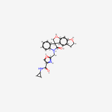 O=C(NC1CC1)c1coc(CN2C(=O)C3(COc4cc5c(cc43)CCO5)c3ccccc32)n1